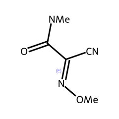 [CH2]NC(=O)/C(C#N)=N/OC